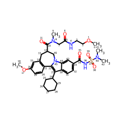 COCCNC(=O)CN(C)C(=O)C1Cc2cc(OC)ccc2-c2c(C3CCCCC3)c3ccc(C(=O)NS(=O)(=O)N(C)C)cc3n2C1